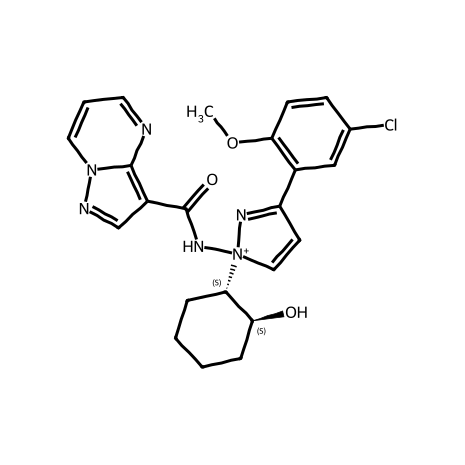 COc1ccc(Cl)cc1C1=N[N+](NC(=O)c2cnn3cccnc23)([C@H]2CCCC[C@@H]2O)C=C1